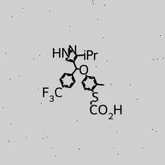 Cc1cc(OC(c2ccc(C(F)(F)F)cc2)c2c[nH]nc2C(C)C)ccc1SCC(=O)O